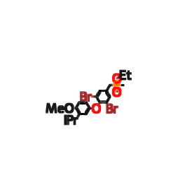 CCOP(C)(=O)Cc1cc(Br)c(Oc2ccc(OC)c(C(C)C)c2)c(Br)c1